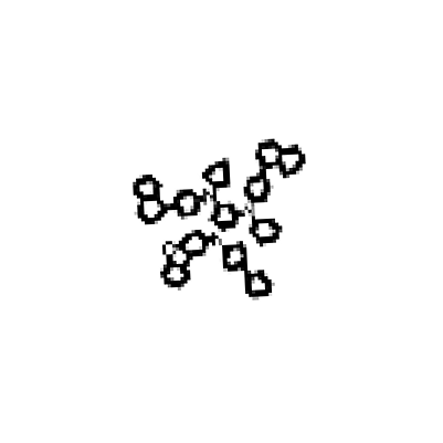 c1ccc(-c2ccc(N(c3cc(N(c4ccccc4)c4ccc(-c5cccc6ccccc56)cc4)cc(N(c4ccccc4)c4ccc(-c5cccc6ccccc56)cc4)c3)c3ccc4oc5ccccc5c4c3)cc2)cc1